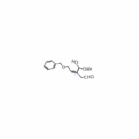 COC(O)/C(=C\COCc1ccccc1)CC=O